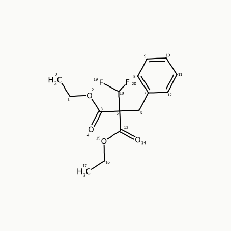 CCOC(=O)C(Cc1ccccc1)(C(=O)OCC)C(F)F